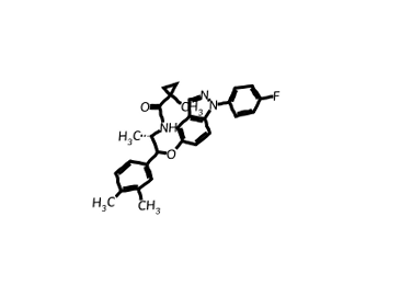 Cc1ccc(C(Oc2ccc3c(cnn3-c3ccc(F)cc3)c2)[C@H](C)NC(=O)C2(C)CC2)cc1C